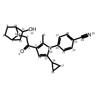 Cc1c(C(=O)CN2C3CCC2C(O)C3)cc(C2CC2)n1-c1ccc(C#N)cc1